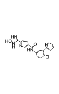 N=C(NO)c1ccc(C(=O)Nc2ccc(Cl)c(-c3ccccn3)c2)cn1